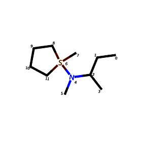 CCC(C)N(C)S1(C)CCCC1